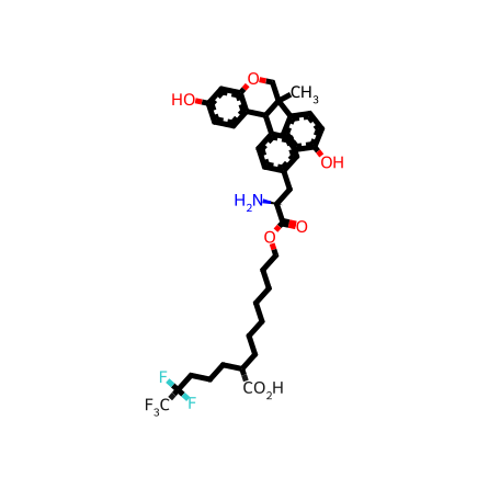 CC1(c2ccc(O)cc2)COc2cc(O)ccc2C1c1ccc(C[C@H](N)C(=O)OCCCCCCCC(CCCC(F)(F)C(F)(F)F)C(=O)O)cc1